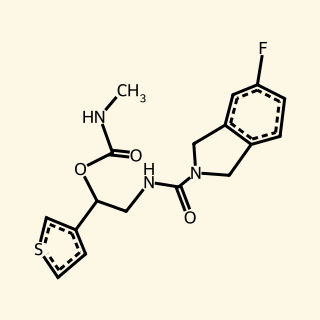 CNC(=O)OC(CNC(=O)N1Cc2ccc(F)cc2C1)c1ccsc1